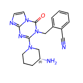 N#Cc1ccccc1Cn1c(N2CCC[C@@H](N)C2)nc2nccn2c1=O